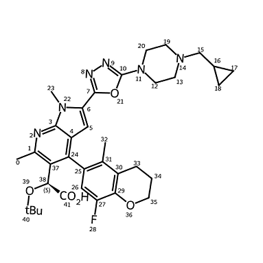 Cc1nc2c(cc(-c3nnc(N4CCN(CC5CC5)CC4)o3)n2C)c(-c2cc(F)c3c(c2C)CCCO3)c1[C@H](OC(C)(C)C)C(=O)O